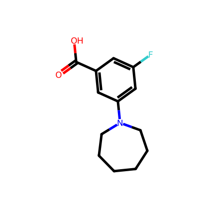 O=C(O)c1cc(F)cc(N2CCCCCC2)c1